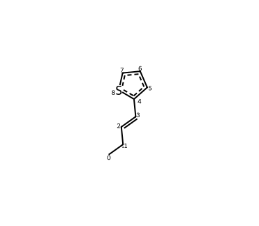 C[CH]C=Cc1cccs1